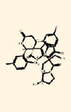 CCC(CC)(Oc1ccc(Cl)cc1[C@@H]1CC(=O)N[C@H](c2cc(F)ccc2C)[C@@]12C(=O)Nc1cc(Cl)ccc12)C(=O)N1CC[C@@H](O)C1